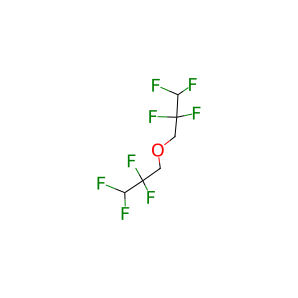 FC(F)C(F)(F)COCC(F)(F)C(F)F